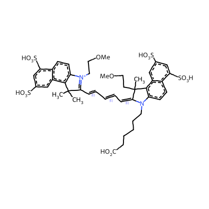 COCC[N+]1=C(/C=C/C=C/C=C2/N(CCCCCC(=O)O)c3ccc4c(S(=O)(=O)O)cc(S(=O)(=O)O)cc4c3C2(C)CCOC)C(C)(C)c2c1ccc1c(S(=O)(=O)O)cc(S(=O)(=O)O)cc21